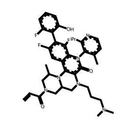 C=CC(=O)N1CC(C)N2c3c(c(=O)n(-c4c(C)ccnc4C(C)C)c4c(F)c(-c5c(O)cccc5F)c(F)cc34)N(CCCN(C)C)CC2C1